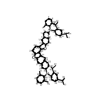 Cc1cccc(C)c1N(c1ccc2cc3c(cc2c1)oc1c3ccc2oc3cc4cc(N(c5ccc(C(C)C)cc5C(C)C)c5c(C)cccc5C)ccc4cc3c21)c1ccc(C(C)C)cc1C(C)C